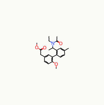 CCN(C(C)=O)C(C)c1cc(C)ccc1-c1cc(CC(=O)OC)ccc1OC